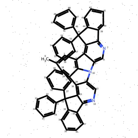 Cc1cc2c3c4c(ncc3n3c5cnc6c(c5c(c1)c23)C(c1ccccc1)(c1ccccc1)c1ccccc1-6)-c1ccccc1C4(c1ccccc1)c1ccccc1